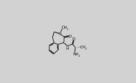 C[C@H](N)C(=O)N[C@@H]1C(=O)N(C)CCc2ccccc21